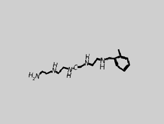 Cc1ccccc1CNCCNCCNCCNCCN